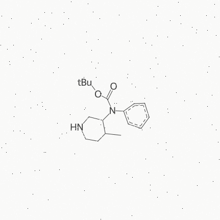 CC1CCNCC1N(C(=O)OC(C)(C)C)c1ccccc1